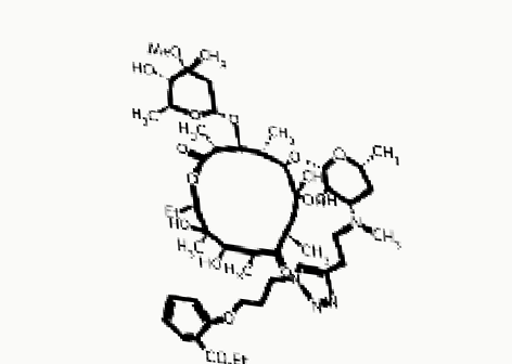 CCOC(=O)c1ccccc1OCCCn1cc(CCN(C)[C@H]2C[C@@H](C)O[C@@H](O[C@@H]3[C@@H](C)[C@H](O[C@H]4C[C@@](C)(OC)[C@@H](O)[C@H](C)O4)[C@@H](C)C(=O)O[C@H](CC)[C@](C)(O)[C@H](O)[C@H](C)C(=O)[C@H](C)C[C@@]3(C)O)[C@@H]2O)nn1